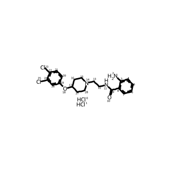 Cl.Cl.Nc1ccccc1C(=O)NCCN1CCC(Oc2ccc(Cl)c(Cl)c2)CC1